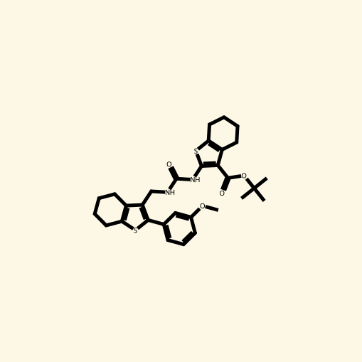 COc1cccc(-c2sc3c(c2CNC(=O)Nc2sc4c(c2C(=O)OC(C)(C)C)CCCC4)CCCC3)c1